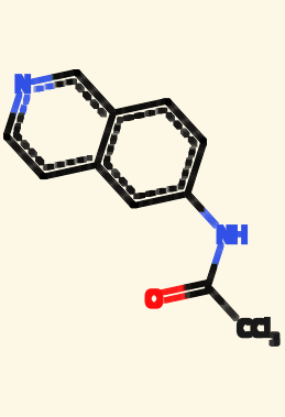 O=C(Nc1ccc2cnccc2c1)C(Cl)(Cl)Cl